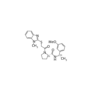 COc1cccc([C@H](C)NC(=O)[C@@H]2CCCN2C(=O)CSc2nc3ccccc3n2C)c1